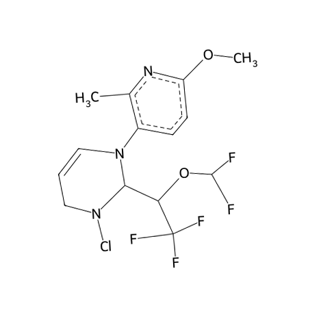 COc1ccc(N2C=CCN(Cl)C2C(OC(F)F)C(F)(F)F)c(C)n1